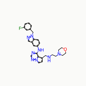 Fc1cccc(Cn2ncc3cc(Nc4ncnn5ccc(CNCCN6CCOCC6)c45)ccc32)c1